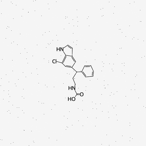 O=C(O)NCCC(c1ccccc1)c1cc(Cl)c2[nH]ccc2c1